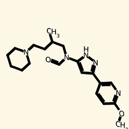 COc1ccc(-c2cc(N(C=O)CC(C)CCN3CCCCC3)[nH]n2)cn1